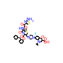 Nc1nc(C(=O)C(=O)N[C@@H]2C(=O)N3C(C(=O)OC(c4ccccc4)c4ccccc4)=C(CN4CCN(c5cc6c(cc5F)c(=O)c(C(=O)O)cn6C5CC5)CC4)CS[C@H]23)cs1